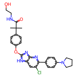 CC(C)(C(=O)NCCO)c1ccc(Oc2nc3nc(-c4ccc(N5CCCC5)cc4)c(Cl)cc3[nH]2)cc1